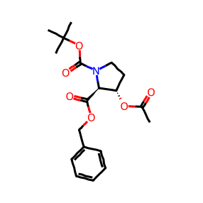 CC(=O)O[C@H]1CCN(C(=O)OC(C)(C)C)[C@@H]1C(=O)OCc1ccccc1